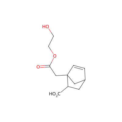 O=C(CC12C=CC(CC1C(=O)O)C2)OCCO